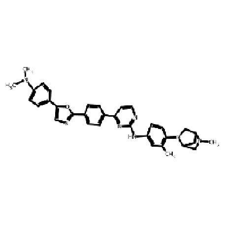 Cc1cc(Nc2nccc(-c3ccc(-c4ncc(-c5ccc(N(C)C)cc5)o4)cc3)n2)ccc1N1CC2CC1CN2C